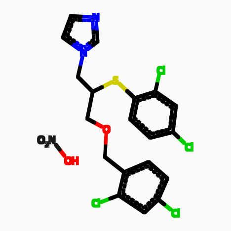 Clc1ccc(COCC(Cn2ccnc2)Sc2ccc(Cl)cc2Cl)c(Cl)c1.O=[N+]([O-])O